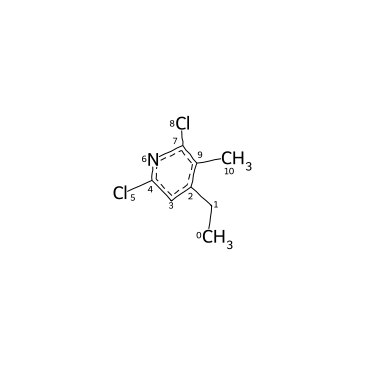 CCc1cc(Cl)nc(Cl)c1C